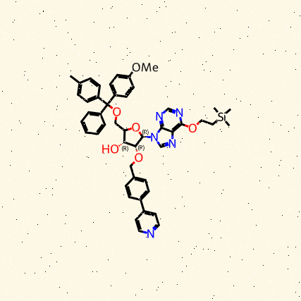 COc1ccc(C(OCC2O[C@@H](n3cnc4c(OCC[Si](C)(C)C)ncnc43)[C@H](OCc3ccc(-c4ccncc4)cc3)[C@@H]2O)(c2ccccc2)c2ccc(C)cc2)cc1